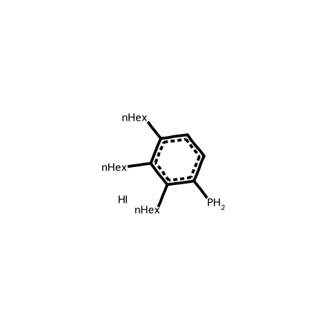 CCCCCCc1ccc(P)c(CCCCCC)c1CCCCCC.I